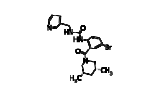 C[C@@H]1C[C@H](C)CN(C(=O)c2cc(Br)ccc2NC(=O)NCc2cccnc2)C1